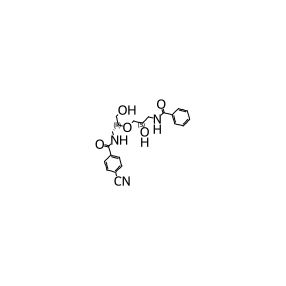 N#Cc1ccc(C(=O)NC[C@H](CO)OC[C@@H](O)CNC(=O)c2ccccc2)cc1